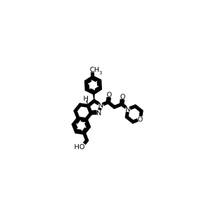 Cc1ccc([C@@H]2[C@@H]3CCc4ccc(CO)cc4C3=NN2C(=O)CC(=O)N2CCOCC2)cc1